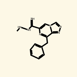 CNNC(=N)c1cn2cnnc2c(Cc2ccccc2)n1